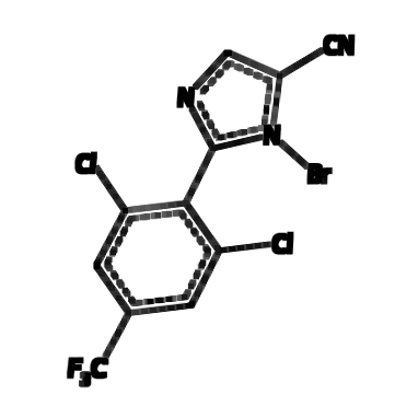 N#Cc1cnc(-c2c(Cl)cc(C(F)(F)F)cc2Cl)n1Br